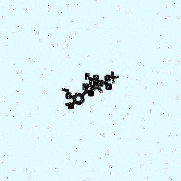 CCOc1cc(-c2nc(C(=O)F)c(C(C)NC(=O)OC(C)(C)C)o2)ccc1OC